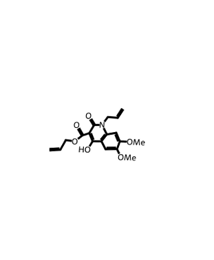 C=CCOC(=O)c1c(O)c2cc(OC)c(OC)cc2n(CC=C)c1=O